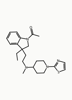 CCC1(CCN(C)C2CCN(c3nccs3)CC2)CN(C(C)=O)c2ccccc21